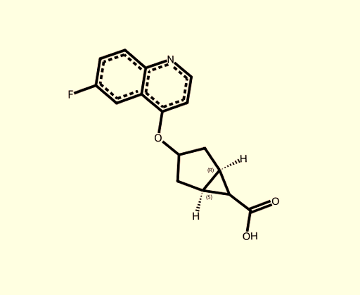 O=C(O)C1[C@H]2CC(Oc3ccnc4ccc(F)cc34)C[C@@H]12